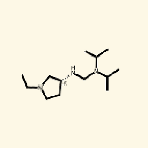 CCN1CC[C@@H](NCN(C(C)C)C(C)C)C1